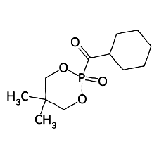 CC1(C)COP(=O)(C(=O)C2CCCCC2)OC1